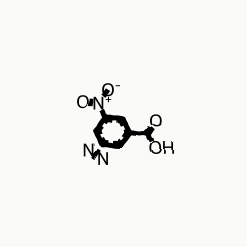 N#N.O=C(O)c1cccc([N+](=O)[O-])c1